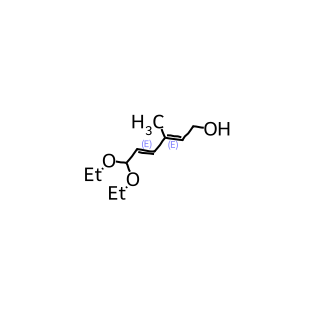 CCOC(/C=C/C(C)=C/CO)OCC